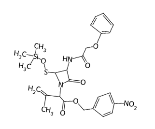 C=C(C)C(C(=O)OCc1ccc([N+](=O)[O-])cc1)N1C(=O)C(NC(=O)COc2ccccc2)C1SO[Si](C)(C)C